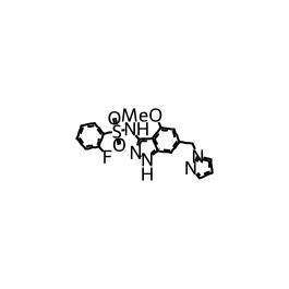 COc1cc(Cn2cccn2)cc2[nH]nc(NS(=O)(=O)c3ccccc3F)c12